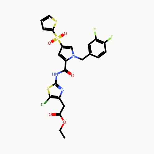 CCOC(=O)Cc1nc(NC(=O)c2cc(S(=O)(=O)c3cccs3)cn2Cc2ccc(F)c(F)c2)sc1Cl